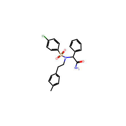 Cc1ccc(CCN(C(C(N)=O)c2ccccc2)S(=O)(=O)c2ccc(Cl)cc2)cc1